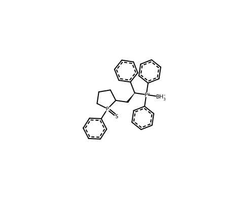 [BH3-][P+](c1ccccc1)(c1ccccc1)[C@@H](CC1CCCP1(=S)c1ccccc1)c1ccccc1